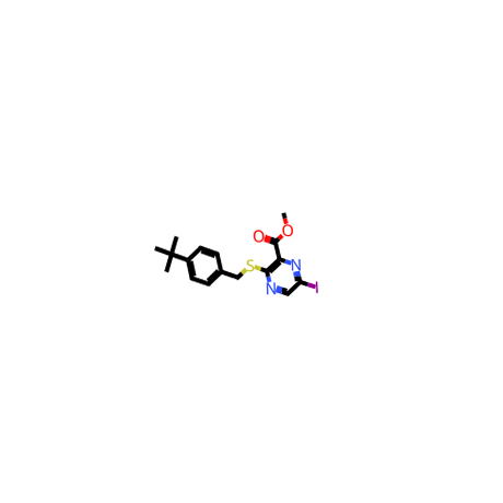 COC(=O)c1nc(I)cnc1SCc1ccc(C(C)(C)C)cc1